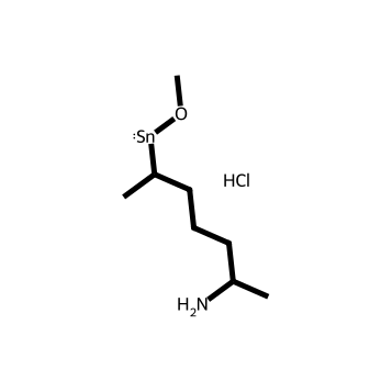 C[O][Sn][CH](C)CCCC(C)N.Cl